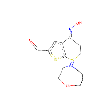 C1COCCN1.O=Cc1cc2c(s1)SCCC2=NO